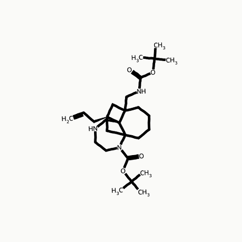 C=CC[C@]12CC3(CNC(=O)OC(C)(C)C)CCCCC4(C1)N(C(=O)OC(C)(C)C)CCNC[C@@]342